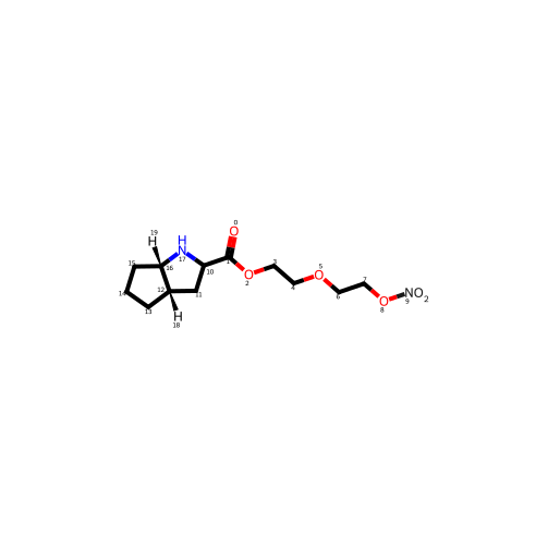 O=C(OCCOCCO[N+](=O)[O-])C1C[C@@H]2CCC[C@@H]2N1